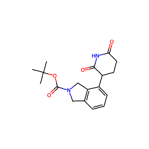 CC(C)(C)OC(=O)N1Cc2cccc(C3CCC(=O)NC3=O)c2C1